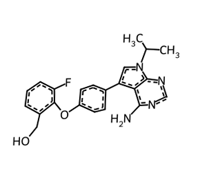 CC(C)n1cc(-c2ccc(Oc3c(F)cccc3CO)cc2)c2c(N)ncnc21